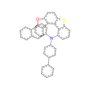 c1ccc(-c2ccc(N(c3ccccc3)c3cccc4sc5ccc6oc7c8ccccc8ccc7c6c5c34)cc2)cc1